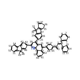 C=C(C=C(c1ccccc1)c1ccccc1)c1ccc(-c2cc3c(-c4ccc5c(c4)C(C)(C)C4=C5CCC=C4)cc(-c4ccc5c(c4)C(C)(C)c4ccccc4-5)nc3c3ccccc23)cc1